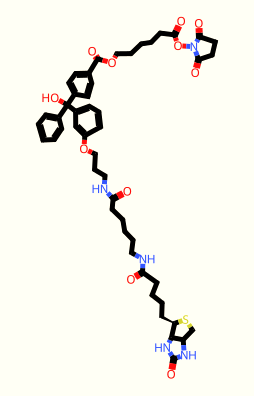 O=C(CCCC[C@H]1SCC2NC(=O)NC21)NCCCCCC(=O)NCCCOc1cccc(C(O)(c2ccccc2)c2ccc(C(=O)OCCCCCC(=O)ON3C(=O)CCC3=O)cc2)c1